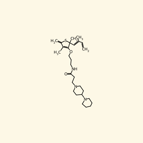 C=C/C(C)=C/C1(C)SC(=C)C(C)=C1OCCCNC(=O)CCN1CCC(N2CCCCC2)CC1